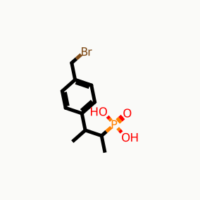 CC(c1ccc(CBr)cc1)C(C)P(=O)(O)O